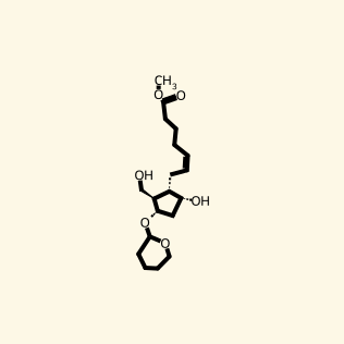 COC(=O)CCC/C=C\C[C@H]1[C@H](CO)[C@@H](OC2CCCCO2)C[C@H]1O